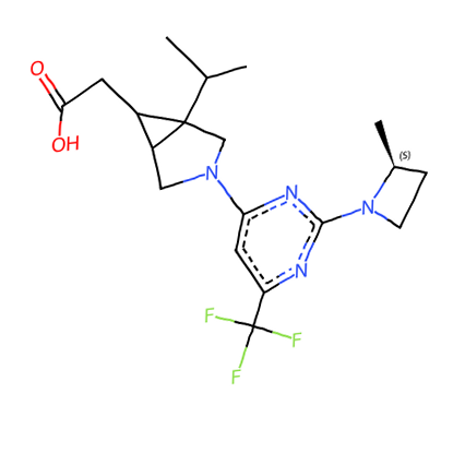 CC(C)C12CN(c3cc(C(F)(F)F)nc(N4CC[C@@H]4C)n3)CC1C2CC(=O)O